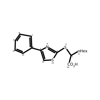 CCCCCCC(Sc1nc(-c2ccccc2)cs1)C(=O)O